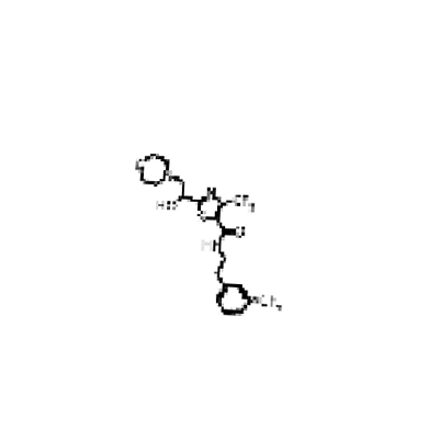 O=C(NCCc1cccc(C(F)(F)F)c1)c1sc(C(O)CN2CCOCC2)nc1C(F)(F)F